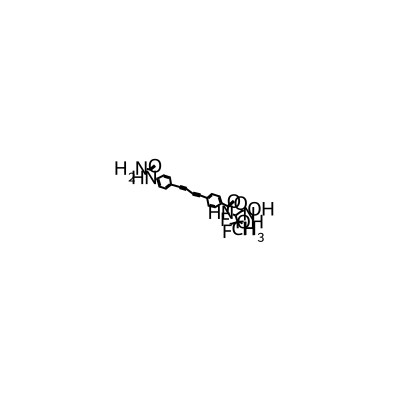 CC(O)(C(F)F)C(NC(=O)c1ccc(C#CC#Cc2ccc(NC(N)=O)cc2)cc1)C(=O)NO